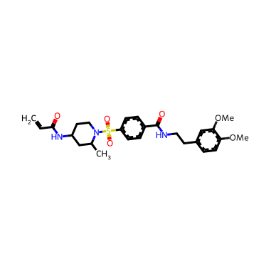 C=CC(=O)NC1CCN(S(=O)(=O)c2ccc(C(=O)NCCc3ccc(OC)c(OC)c3)cc2)C(C)C1